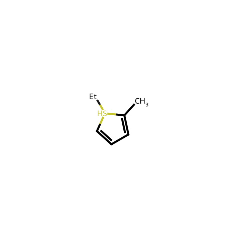 CC[SH]1C=CC=C1C